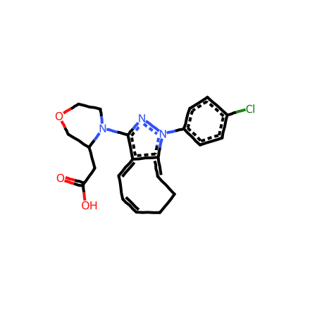 O=C(O)CC1COCCN1c1nn(-c2ccc(Cl)cc2)c2/c1=C\C=C/CC/C=2